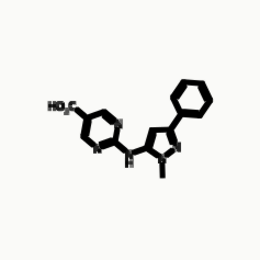 Cn1nc(-c2ccccc2)cc1Nc1ncc(C(=O)O)cn1